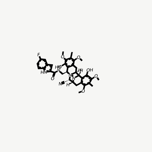 COc1c(C)c(OC)c2c(c1O)[C@H]1[C@@H]3Cc4c(OC)c(C)c(OC)c(O)c4[C@H](CNC(=O)c4cc5cc(F)ccc5[nH]4)N3[C@@H](C#N)[C@@H](C2)N1C